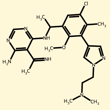 COc1c(C(C)Nc2ncnc(N)c2C(C)=N)cc(Cl)c(C)c1-c1cnn(CCN(C)C)c1